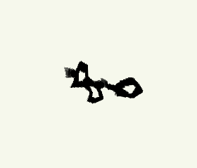 Brc1ccc2c(c1)CCCC2Oc1ccccc1